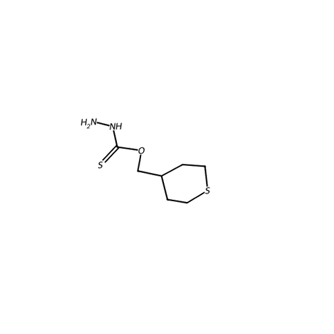 NNC(=S)OCC1CCSCC1